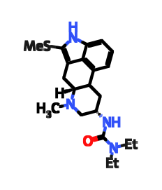 CCN(CC)C(=O)N[C@H]1CC2c3cccc4[nH]c(SC)c(c34)C[C@H]2N(C)C1